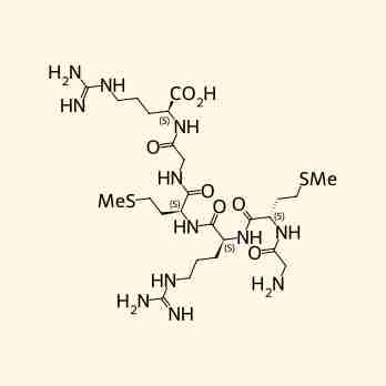 CSCC[C@H](NC(=O)CN)C(=O)N[C@@H](CCCNC(=N)N)C(=O)N[C@@H](CCSC)C(=O)NCC(=O)N[C@@H](CCCNC(=N)N)C(=O)O